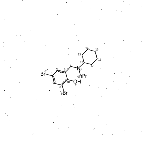 CCCN(Cc1cc(Br)cc(Br)c1O)C1CCCCC1